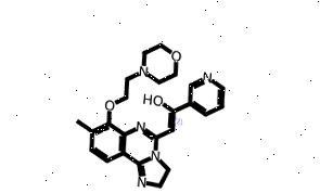 Cc1ccc2c(c1OCCN1CCOCC1)N=C(/C=C(\O)c1cccnc1)N1CCN=C21